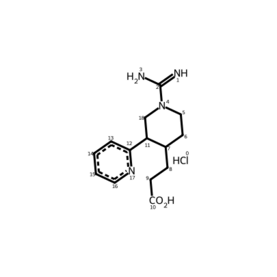 Cl.N=C(N)N1CCC(CCC(=O)O)C(c2ccccn2)C1